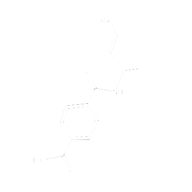 CC(C)(C)/C=C/C(NC(=O)c1ccc(C(=O)C(F)(F)F)cc1)C(=O)O